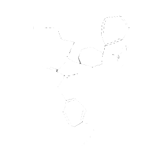 COCCN1C(=O)N(Cc2ccc(OC)cc2)C[C@]12CC[C@@](c1ccccc1)(N(C)C)CC2